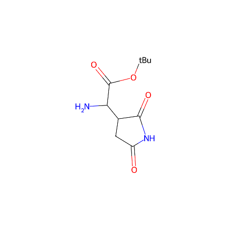 CC(C)(C)OC(=O)C(N)C1CC(=O)NC1=O